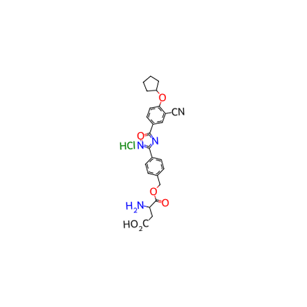 Cl.N#Cc1cc(-c2nc(-c3ccc(COC(=O)C(N)CC(=O)O)cc3)no2)ccc1OC1CCCC1